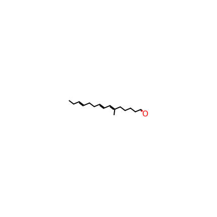 CC/C=C/CC/C=C/C=C(\C)CCCCC=O